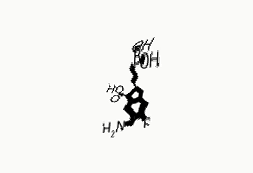 NCc1cc2c(cc1F)C[C@H](CCCB(O)O)[C@@H]2C(=O)O